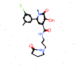 Cc1cc(F)cc(-c2cc(C(=O)NCCCN3CCCC3=O)c(O)c(=O)n2C)c1